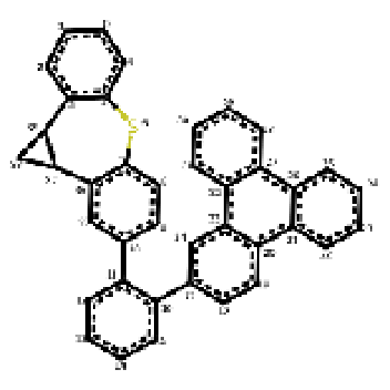 c1ccc2c(c1)Sc1ccc(-c3ccccc3-c3ccc4c5ccccc5c5ccccc5c4c3)cc1C1CC21